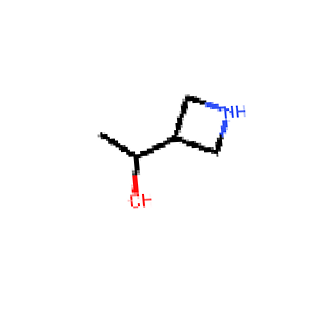 CC(O)C1CNC1